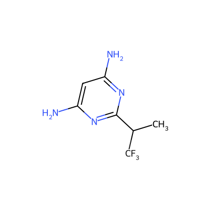 CC(c1nc(N)cc(N)n1)C(F)(F)F